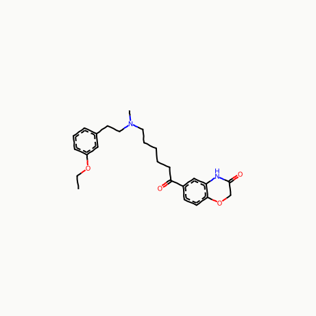 CCOc1cccc(CCN(C)CCCCCC(=O)c2ccc3c(c2)NC(=O)CO3)c1